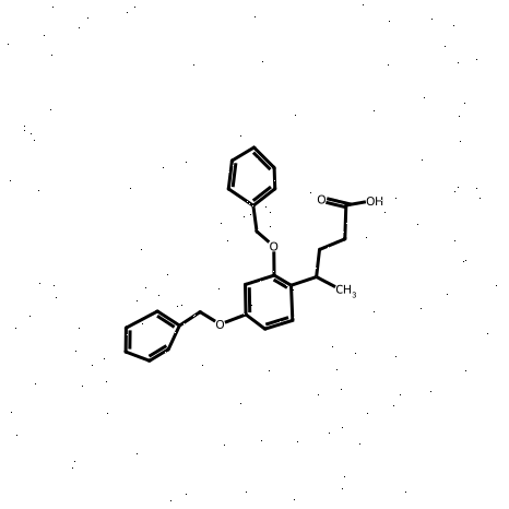 CC(CCC(=O)O)c1ccc(OCc2ccccc2)cc1OCc1ccccc1